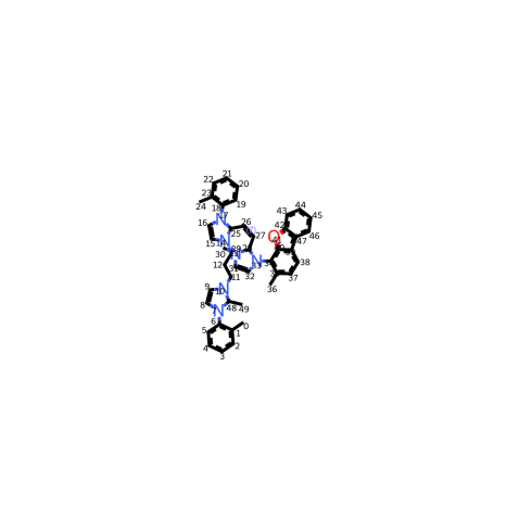 Cc1ccccc1N1C=CN(CCCN2C=CN(c3ccccc3C)C2/C=C\C2N(C)C=CN2c2c(C)ccc3c2oc2ccccc23)C1C